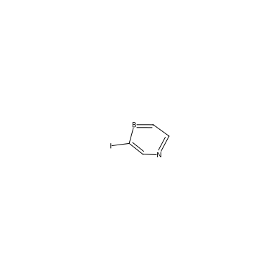 Ic1bccnc1